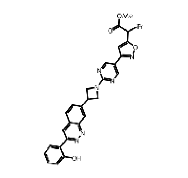 COC(=O)C(c1cc(-c2cnc(N3CC(c4ccc5cc(-c6ccccc6O)nnc5c4)C3)nc2)no1)C(C)C